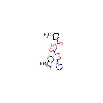 CCN(C(C)C)[C@@H]1CC[C@H](NC(=O)CNC(=O)c2cccc(C(F)(F)F)c2)[C@H](C(=O)N2CCCCC2)C1